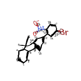 CC1(C)c2ccccc2-c2ccc(-c3cc(Br)ccc3[N+](=O)[O-])cc21